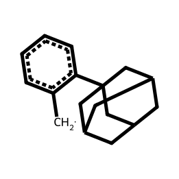 [CH2]c1ccccc1C12CC3CC(CC(C3)C1)C2